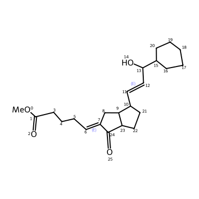 COC(=O)CCC/C=C1\CC2C(/C=C/C(O)C3CCCCC3)CCC2C1=O